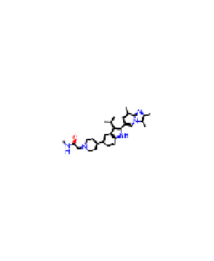 CNC(=O)CN1CCC(c2ccc3[nH]c(-c4cc(C)c5nc(C)c(C)n5c4)c(C(C)C)c3c2)CC1